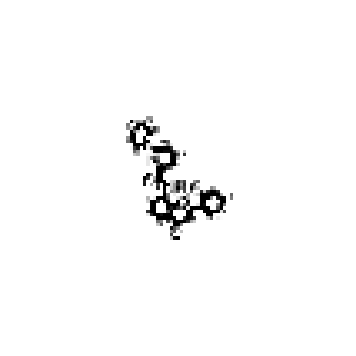 O=C(Nc1cccc2c(=O)cc(-c3ccccc3C(F)(F)F)oc12)c1cccc(N2CCOCC2)n1